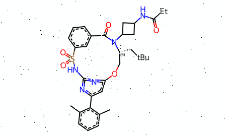 CCC(=O)NC1CC(N2C(=O)c3cccc(c3)S(=O)(=O)Nc3nc(cc(-c4c(C)cccc4C)n3)OC[C@H]2CC(C)(C)C)C1